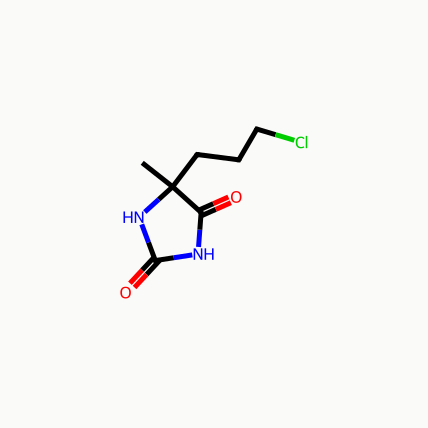 CC1(CCCCl)NC(=O)NC1=O